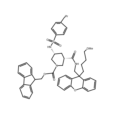 COCCCCC1(CNC(=O)[C@H]2C[C@@H](NS(=O)(=O)c3ccc(C(C)C)cc3)CN(C(=O)OCC3c4ccccc4-c4ccccc43)C2)c2ccccc2Oc2ccccc21